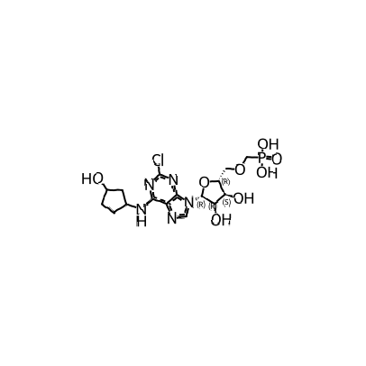 O=P(O)(O)COC[C@H]1O[C@@H](n2cnc3c(NC4CCC(O)C4)nc(Cl)nc32)[C@H](O)[C@@H]1O